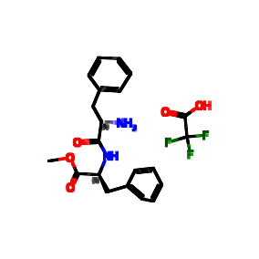 COC(=O)[C@H](Cc1ccccc1)NC(=O)[C@@H](N)Cc1ccccc1.O=C(O)C(F)(F)F